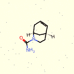 NC(=O)N1CC[C@@H]2C=CC[C@H]1C2